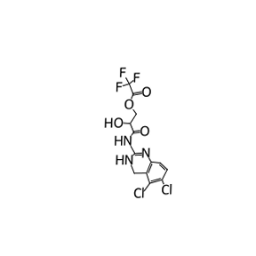 O=C(NC1=Nc2ccc(Cl)c(Cl)c2CN1)C(O)COC(=O)C(F)(F)F